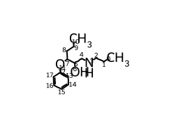 CCCNCC(O)C(CCC)Oc1ccccc1